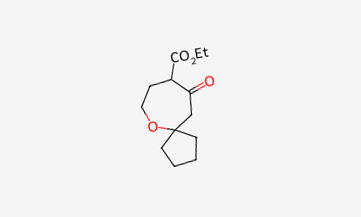 CCOC(=O)C1CCOC2(CCCC2)CC1=O